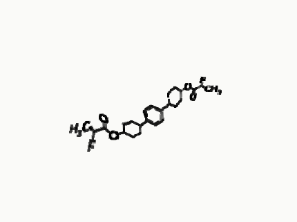 C[C@H](F)C(=O)OC1CCC(c2ccc(C3CCC(OC(=O)[C@H](C)F)CC3)cc2)CC1